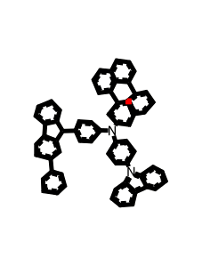 c1ccc(-c2ccc3c(c2)C(c2ccc(N(c4ccc(-n5c6ccccc6c6ccccc65)cc4)c4cccc(-c5cccc6cccc(-c7ccccc7)c56)c4)cc2)c2ccccc2-3)cc1